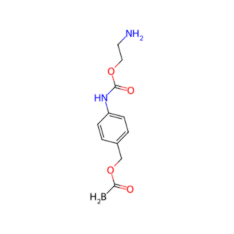 BC(=O)OCc1ccc(NC(=O)OCCN)cc1